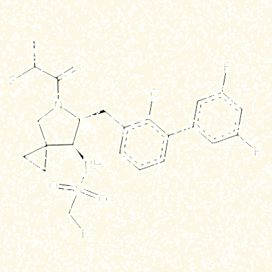 CC(F)C(=O)N1CC2(CC2)[C@H](NS(=O)(=O)CF)[C@@H]1Cc1cccc(-c2cc(F)cc(F)c2)c1F